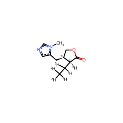 [2H]C([2H])([2H])C([2H])([2H])[C@]1([2H])C(=O)OC[C@@H]1Cc1cncn1C